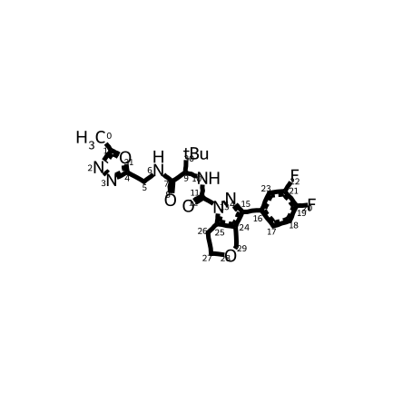 Cc1nnc(CNC(=O)C(NC(=O)n2nc(-c3ccc(F)c(F)c3)c3c2CCOC3)C(C)(C)C)o1